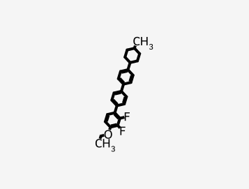 CCOc1ccc(-c2ccc(-c3ccc(C4CCC(C)CC4)cc3)cc2)c(F)c1F